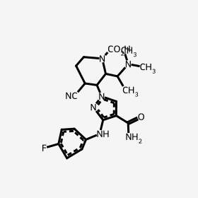 CC(C1C(n2cc(C(N)=O)c(Nc3ccc(F)cc3)n2)C(C#N)CCN1C(=O)O)N(C)C